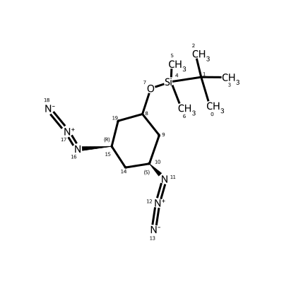 CC(C)(C)[Si](C)(C)OC1C[C@@H](N=[N+]=[N-])C[C@@H](N=[N+]=[N-])C1